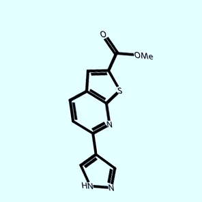 COC(=O)c1cc2ccc(-c3cn[nH]c3)nc2s1